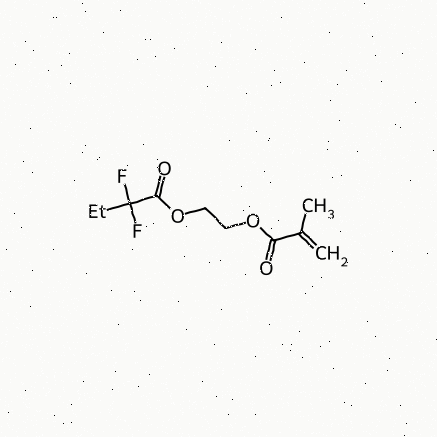 C=C(C)C(=O)OCCOC(=O)C(F)(F)CC